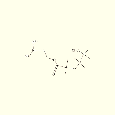 CCCCN(CCCC)CCOC(=O)C(C)(C)CC(C)(C)C(C)(C)C=O